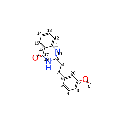 COc1cccc(CCc2nc3ccccc3c(=O)[nH]2)c1